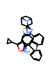 O=C(O)c1cc2sc(N3C4CC(NCc5c(-c6c(Cl)cccc6Cl)noc5C5CC5)CC3C4)nc2cc1-c1ccccc1